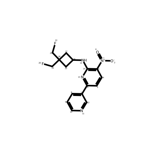 O=[N+]([O-])c1ccc(-c2cccnc2)nc1NC1CC(CF)(CF)C1